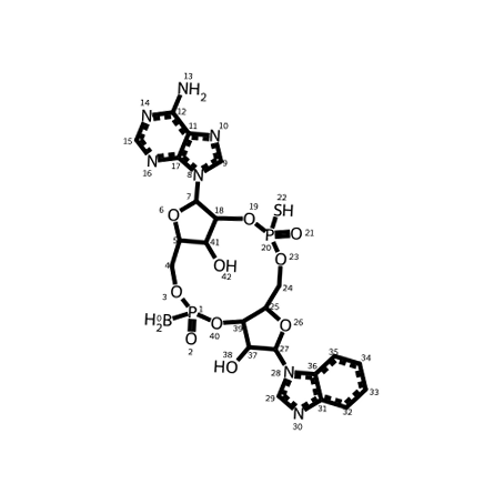 BP1(=O)OCC2OC(n3cnc4c(N)ncnc43)C(OP(=O)(S)OCC3OC(n4cnc5ccccc54)C(O)C3O1)C2O